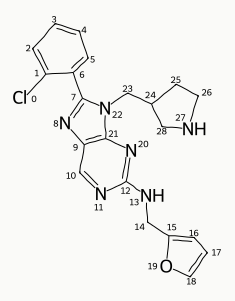 Clc1ccccc1-c1nc2cnc(NCc3ccco3)nc2n1CC1CCNC1